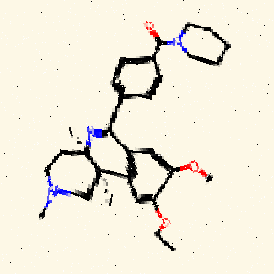 CCOc1cc2c(cc1OC)C(c1ccc(C(=O)N3CCCCC3)cc1)=N[C@@H]1CCN(C)C[C@H]21